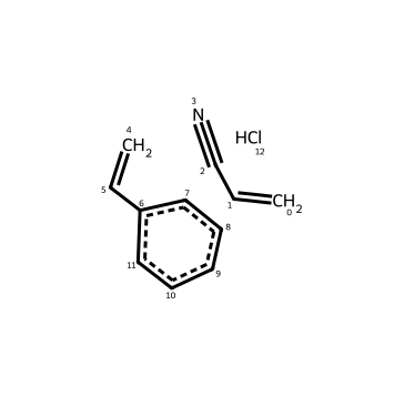 C=CC#N.C=Cc1ccccc1.Cl